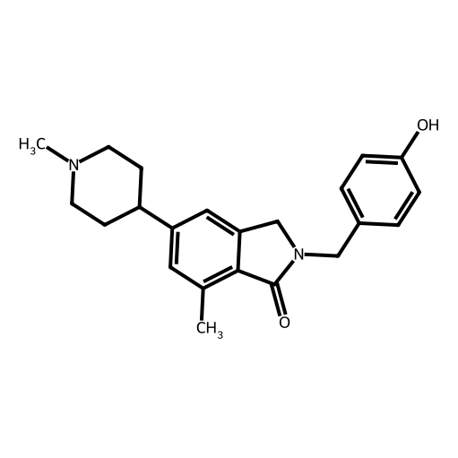 Cc1cc(C2CCN(C)CC2)cc2c1C(=O)N(Cc1ccc(O)cc1)C2